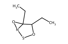 CCC1OSN2OC12CC